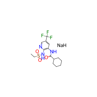 CCS(=O)(=O)Nc1ncc(C(F)(F)F)cc1NC(=O)C1CCCCC1.[NaH]